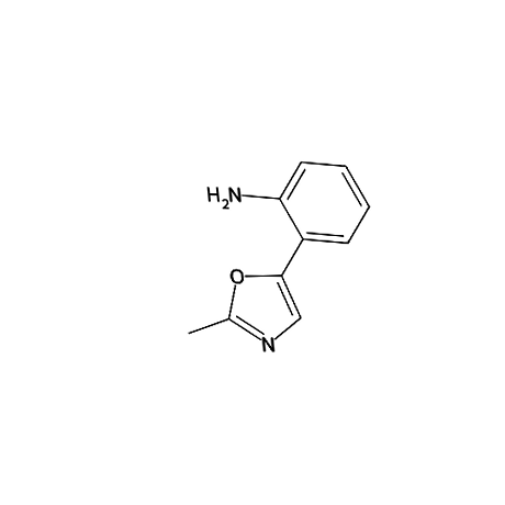 Cc1ncc(-c2ccccc2N)o1